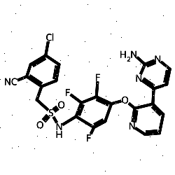 N#Cc1cc(Cl)ccc1CS(=O)(=O)Nc1c(F)cc(Oc2ncccc2-c2ccnc(N)n2)c(F)c1F